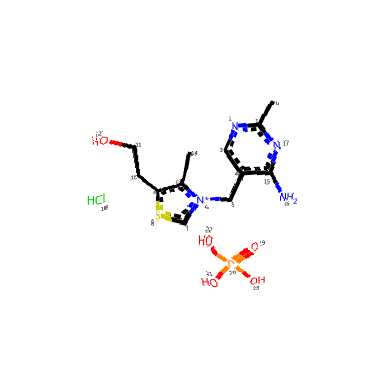 Cc1ncc(C[n+]2csc(CCO)c2C)c(N)n1.Cl.O=P(O)(O)O